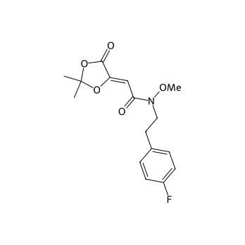 CON(CCc1ccc(F)cc1)C(=O)C=C1OC(C)(C)OC1=O